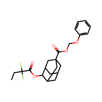 CCC(F)(F)C(=O)OC1C2CC3CC1CC(C(=O)OCOc1ccccc1)(C3)C2